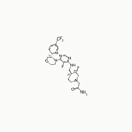 NC(=O)CN1CC[C@@H](CNc2ncnc(N3CCOC[C@@H]3c3ccc(C(F)(F)F)cn3)c2F)[C@@H](F)C1